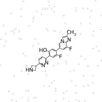 Cc1cn2cc(-c3cc(O)c(-c4ccc(C5CNC5)nn4)cc3F)cc(F)c2n1